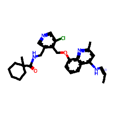 C/C=C\Nc1cc(C)nc2c(OCc3c(Cl)cncc3CNC(=O)C3(C)CCCCC3)cccc12